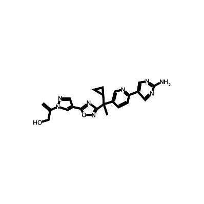 C=C(CO)n1cc(-c2nc(C(C)(c3ccc(-c4cnc(N)nc4)nc3)C3CC3)no2)cn1